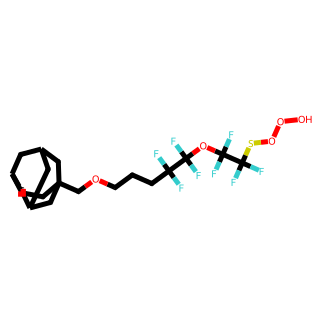 OOOSC(F)(F)C(F)(F)OC(F)(F)C(F)(F)CCCOCC12CCC3CC(CC(C3)C1)C2